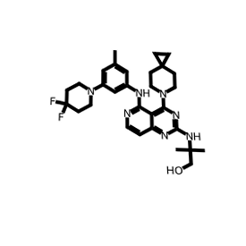 Cc1cc(Nc2nccc3nc(NC(C)(C)CO)nc(N4CCC5(CC4)CC5)c23)cc(N2CCC(F)(F)CC2)c1